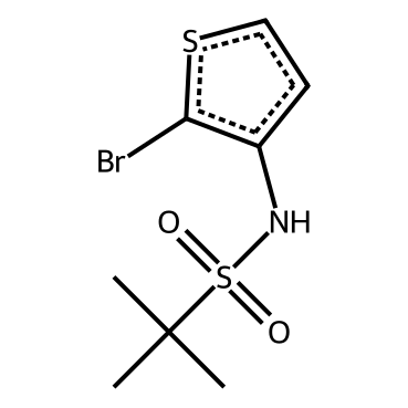 CC(C)(C)S(=O)(=O)Nc1ccsc1Br